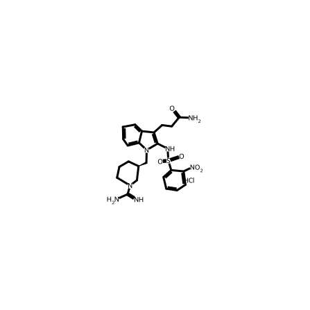 Cl.N=C(N)N1CCC[C@@H](Cn2c(NS(=O)(=O)c3ccccc3[N+](=O)[O-])c(CCC(N)=O)c3ccccc32)C1